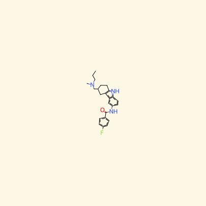 CCCN(C)CC1CCc2[nH]c3ccc(NC(=O)c4ccc(F)cc4)cc3c2C1